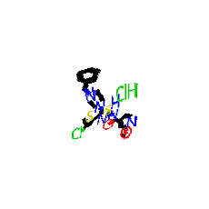 COc1cc(C(=O)Nc2nc(-c3cc(Cl)cs3)c(N3CCN(Cc4ccccc4)CC3)s2)ccn1.Cl